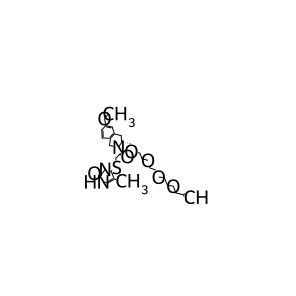 C#CCOCCOCCOCCOC[C@H]1Cc2cc(OC)ccc2CN1C(=O)CSc1nc(=O)[nH]cc1C